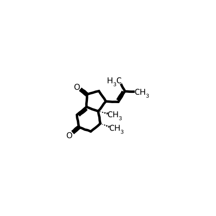 CC(C)=CC1CC(=O)C2=CC(=O)C[C@@H](C)[C@@]21C